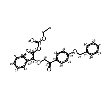 CCOC(=O)Oc1sc2ccccc2c1OCC(=O)c1ccc(OCc2ccccc2)cc1